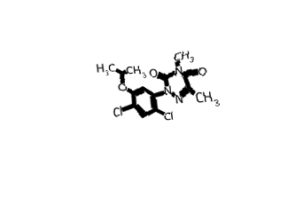 Cc1nn(-c2cc(OC(C)C)c(Cl)cc2Cl)c(=O)n(C)c1=O